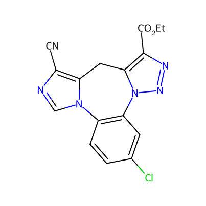 CCOC(=O)c1nnn2c1Cc1c(C#N)ncn1-c1ccc(Cl)cc1-2